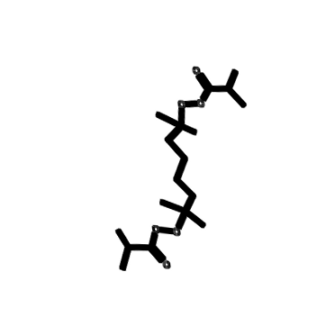 CC(C)C(=O)OOC(C)(C)CCCCC(C)(C)OOC(=O)C(C)C